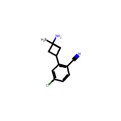 BC1(N)CC(c2cc(Cl)ccc2C#N)C1